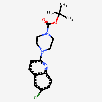 CC(C)(C)OC(=O)N1CCN(c2ccc3cc(Cl)ccc3n2)CC1